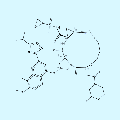 COc1ccc2c(O[C@@H]3C[C@H]4C(=O)N[C@]5(C(=O)NS(=O)(=O)C6CC6)C[C@H]5/C=C\CCCCC[C@H](CC(=O)N5CCCC(F)C5)C(=O)N4C3)cc(-c3nc(C(C)C)cs3)nc2c1C